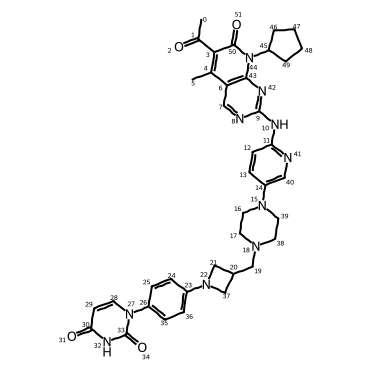 CC(=O)c1c(C)c2cnc(Nc3ccc(N4CCN(CC5CN(c6ccc(-n7ccc(=O)[nH]c7=O)cc6)C5)CC4)cn3)nc2n(C2CCCC2)c1=O